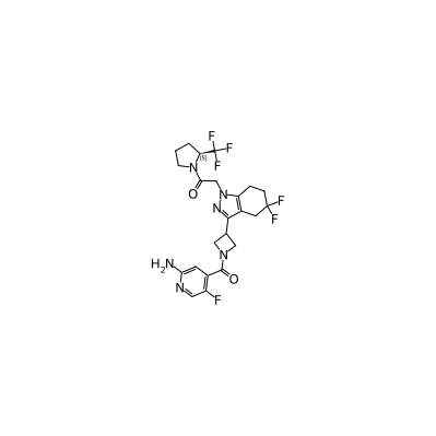 Nc1cc(C(=O)N2CC(c3nn(CC(=O)N4CCC[C@H]4C(F)(F)F)c4c3CC(F)(F)CC4)C2)c(F)cn1